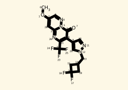 COc1cnn2c(=O)c(-c3cnn(CC4CC(F)(F)C4)c3)c(C(F)(F)F)nc2c1